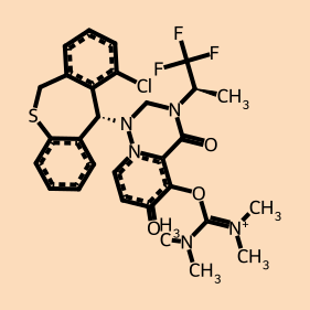 C[C@@H](N1CN([C@@H]2c3ccccc3SCc3cccc(Cl)c32)n2ccc(=O)c(OC(N(C)C)=[N+](C)C)c2C1=O)C(F)(F)F